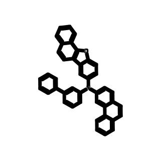 c1ccc(-c2cccc(N(c3ccc4ccc5ccccc5c4c3)c3ccc4oc5c6ccccc6ccc5c4c3)c2)cc1